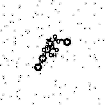 CC1(C)S[C@@H]2[C@H]([C@H](O)C(=O)N3CCN(c4ccccc4)CC3)C(=O)N2[C@H]1C(=O)OCc1ccccc1